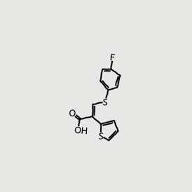 O=C(O)C(=CSc1ccc(F)cc1)c1cccs1